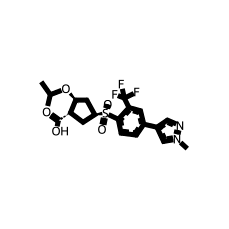 CC(C)O[C@H]1C[C@@H](S(=O)(=O)c2ccc(-c3cnn(C)c3)cc2C(F)(F)F)C[C@@H]1C(=O)O